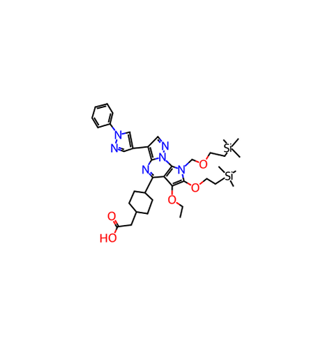 CCOc1c(OCC[Si](C)(C)C)n(COCC[Si](C)(C)C)c2c1c(C1CCC(CC(=O)O)CC1)nc1c(-c3cnn(-c4ccccc4)c3)cnn12